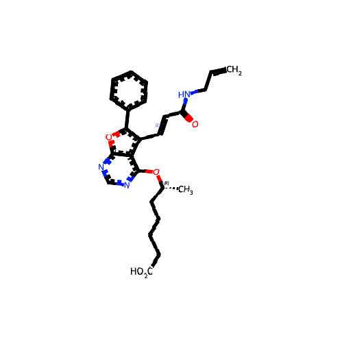 C=CCNC(=O)/C=C/c1c(-c2ccccc2)oc2ncnc(O[C@H](C)CCCCC(=O)O)c12